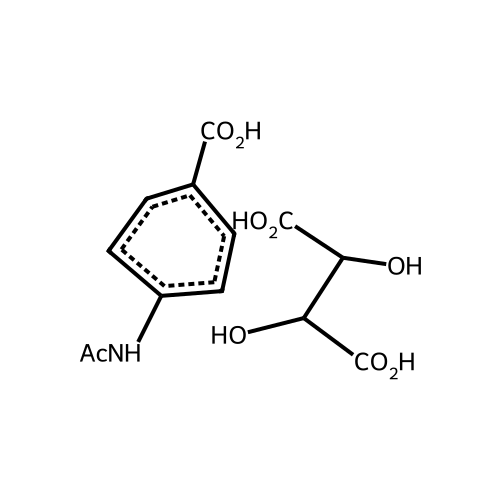 CC(=O)Nc1ccc(C(=O)O)cc1.O=C(O)C(O)C(O)C(=O)O